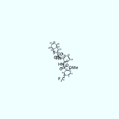 COc1ccc(C(F)(F)F)cc1S(=O)(=O)Nc1ccccc1NS(=O)(=O)c1cc2ccccc2s1